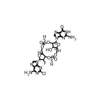 Nc1nc2c(ncn2[C@@H]2O[C@@H]3CO[P@](=O)(S)OC4C(F)[C@H](n5cnc6c(N)nc(Cl)nc65)O[C@@H]4CO[P@@](=O)(S)OC2C3O)c(=O)[nH]1